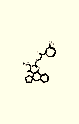 Cn1c(SCC(=O)C2=CC(C(F)(F)F)=CC=CC2)nc2c(c1=O)C1(CCCC1)Cc1ccccc1-2